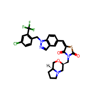 O=C1SC(=Cc2ccc3c(cnn3Cc3ccc(Cl)cc3C(F)(F)F)c2)C(=O)N1C[C@H]1CN2CCC[C@H]2CO1